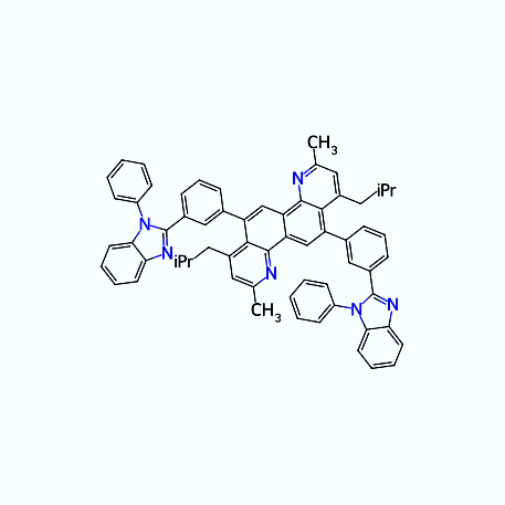 Cc1cc(CC(C)C)c2c(-c3cccc(-c4nc5ccccc5n4-c4ccccc4)c3)cc3c(cc(-c4cccc(-c5nc6ccccc6n5-c5ccccc5)c4)c4c(CC(C)C)cc(C)nc43)c2n1